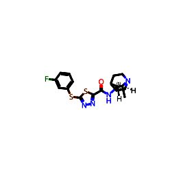 C[C@H]1[C@H](NC(=O)c2nnc(Sc3cccc(F)c3)s2)C2CCN1CC2